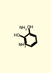 N.N.Oc1ccccc1O